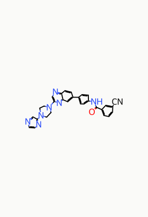 N#Cc1cccc(C(=O)Nc2ccc(-c3ccc4ncc(N5CCN(c6cnccn6)CC5)nc4c3)cc2)c1